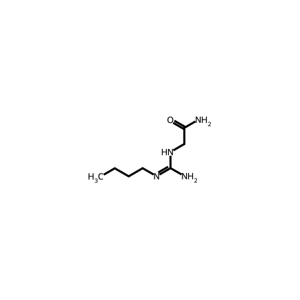 CCCCN=C(N)NCC(N)=O